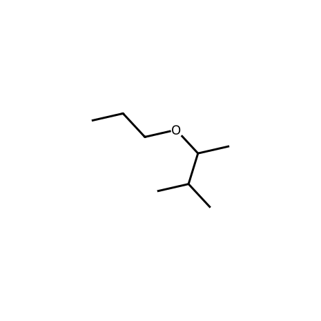 CCCOC(C)C(C)C